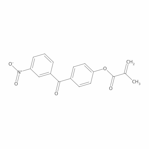 C=C(C)C(=O)Oc1ccc(C(=O)c2cccc([N+](=O)[O-])c2)cc1